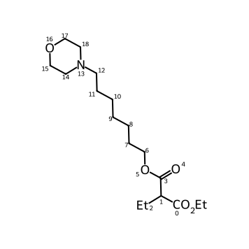 CCOC(=O)C(CC)C(=O)OCCCCCCCN1CCOCC1